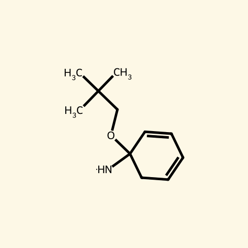 CC(C)(C)COC1([NH])C=CC=CC1